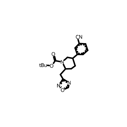 CC(C)(C)OC(=O)N1CC(c2cccc(C#N)c2)CCC1Cc1ncon1